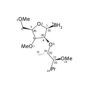 B[C@@H]1O[C@H](COC)C(OC)[C@@H]1O[C@@H](C)[C@@H](OC)C(C)C